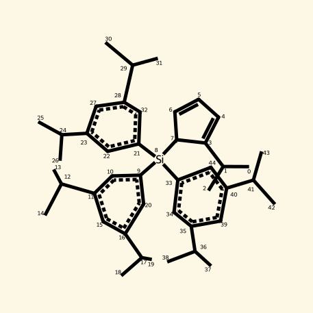 CC(C)C1=CC=C[C]1[Si](c1cc(C(C)C)cc(C(C)C)c1)(c1cc(C(C)C)cc(C(C)C)c1)c1cc(C(C)C)cc(C(C)C)c1